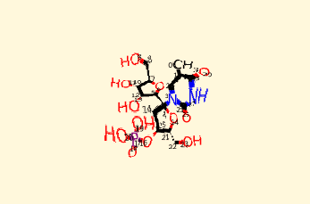 Cc1cn([C@@]2(C3O[C@H](CO)[C@@H](O)[C@H]3O)C[C@H](OP(=O)(O)O)[C@@H](CO)O2)c(=O)[nH]c1=O